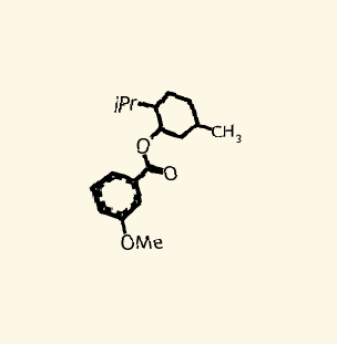 COc1cccc(C(=O)OC2CC(C)CCC2C(C)C)c1